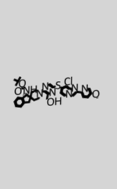 COc1ccc(-c2cn3ccc(Sc4cnc(N5CCC6(CC5)Cc5ccccc5[C@H]6NC(=O)OC(C)(C)C)c(CO)n4)c(Cl)c3n2)nc1